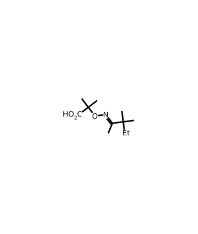 CCC(C)(C)/C(C)=N/OC(C)(C)C(=O)O